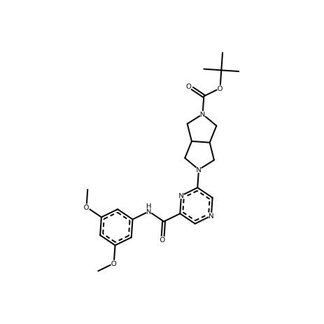 COc1cc(NC(=O)c2cncc(N3CC4CN(C(=O)OC(C)(C)C)CC4C3)n2)cc(OC)c1